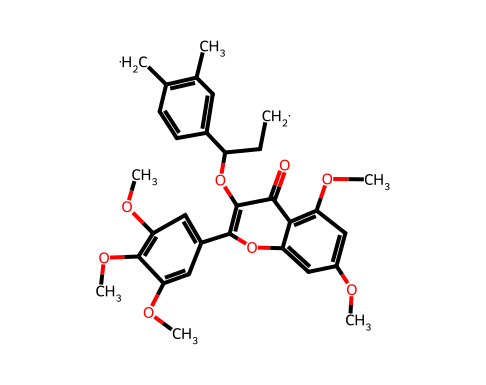 [CH2]CC(Oc1c(-c2cc(OC)c(OC)c(OC)c2)oc2cc(OC)cc(OC)c2c1=O)c1ccc([CH2])c(C)c1